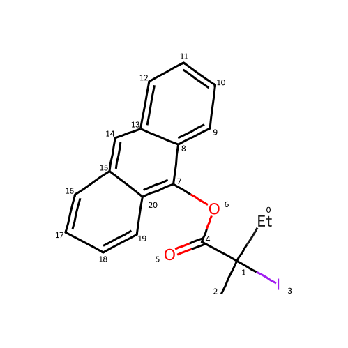 CCC(C)(I)C(=O)Oc1c2ccccc2cc2ccccc12